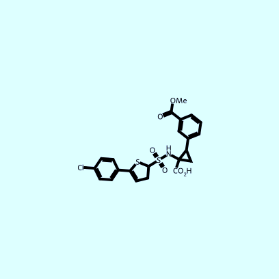 COC(=O)c1cccc(C2CC2(NS(=O)(=O)C2CC=C(c3ccc(Cl)cc3)S2)C(=O)O)c1